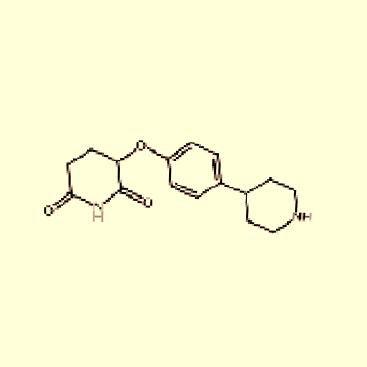 O=C1CCC(Oc2ccc(C3CCNCC3)cc2)C(=O)N1